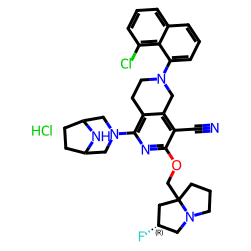 Cl.N#Cc1c(OCC23CCCN2C[C@H](F)C3)nc(N2CC3CCC(C2)N3)c2c1CN(c1cccc3cccc(Cl)c13)CC2